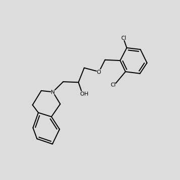 OC(COCc1c(Cl)cccc1Cl)CN1CCc2ccccc2C1